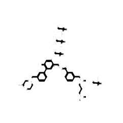 C[C@H]1CN(Cc2cccc(-c3cc(CNC(=O)c4cccc(CN(C)CCCN(C)C)c4)ccc3F)c2)CCN1.O=C(O)C(F)(F)F.O=C(O)C(F)(F)F.O=C(O)C(F)(F)F.O=C(O)C(F)(F)F